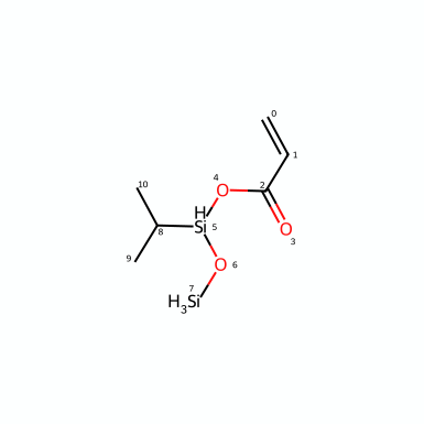 C=CC(=O)O[SiH](O[SiH3])C(C)C